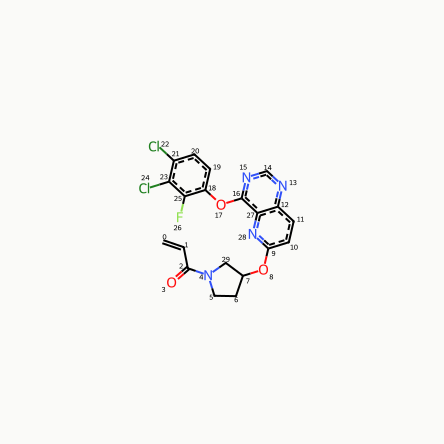 C=CC(=O)N1CCC(Oc2ccc3ncnc(Oc4ccc(Cl)c(Cl)c4F)c3n2)C1